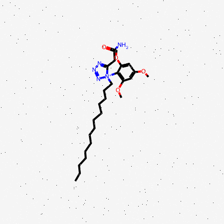 CCCCCCCCCCCCCC[N+]1(c2c(OC)cc(OC)cc2OC)N=NN=C1CC(N)=O